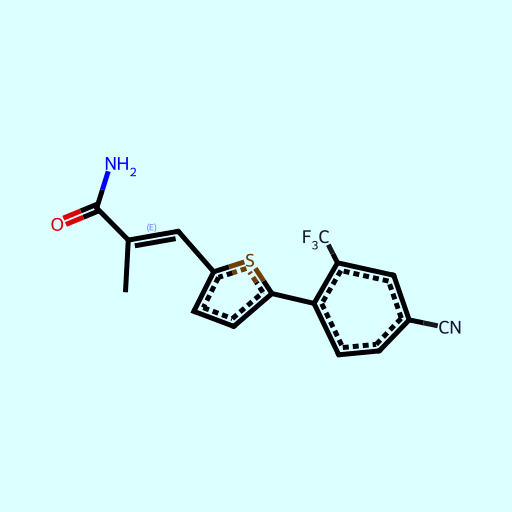 C/C(=C\c1ccc(-c2ccc(C#N)cc2C(F)(F)F)s1)C(N)=O